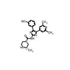 Cc1cc(-c2sc(NC(=O)N3CCN[C@@H](C)C3)nc2-c2cccc(C#N)c2)cc(C)n1